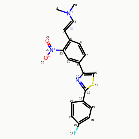 CN(C)/C=C/c1ccc(-c2csc(-c3ccc(F)cc3)n2)cc1[N+](=O)[O-]